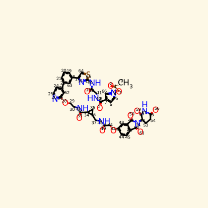 CS(=O)(=O)n1ccc(C(=O)NCC(=O)Nc2nc(-c3cccc(-c4ccnc(OCCNC(=O)C5CC5CNC(=O)COc5ccc6c(c5)C(=O)N(C5CCC(=O)NC5=O)C6=O)c4)c3)cs2)c1